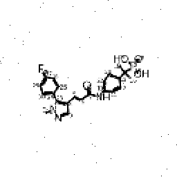 Cn1ncc(C=CC(=O)Nc2ccc(C(C)(C)P(=O)(O)O)cc2)c1-c1ccc(F)cc1